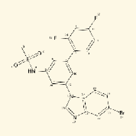 CS(=O)(=O)Nc1cc(-c2ccc(F)cc2F)cc(-n2cnc3cc(Br)ccc32)c1